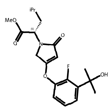 COC(=O)[C@H](CC(C)C)N1CC(Oc2cccc(C(C)(C)O)c2F)=CC1=O